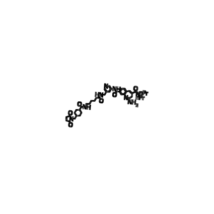 CCCN(CCC)C(=O)C1=Cc2ccc(C(=O)Nc3cncc(CNC(=O)CCCCCNC(=O)C4CCC(CN5C(=O)C=CC5=O)CC4)c3)cc2N=C(N)C1